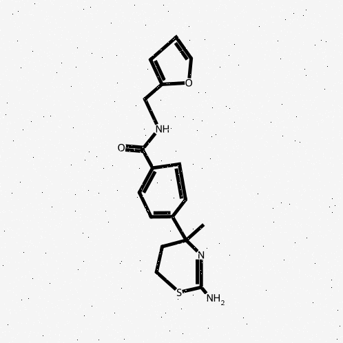 CC1(c2ccc(C(=O)NCc3ccco3)cc2)CCSC(N)=N1